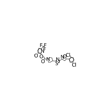 COc1ccc(C(F)(F)F)nc1OCC(=O)N1CCC(c2nc(C3=NOC(c4cc(Cl)ccc4Cl)C3)cs2)CC1